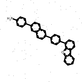 Pc1ccc(-c2ccc3cc(-c4ccc(-c5cccc6c5oc5ccccc56)cc4)ccc3c2)cc1